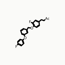 CC(=O)CCc1ccc(OCc2cccc(Oc3ccc(F)cc3)c2)c(F)c1